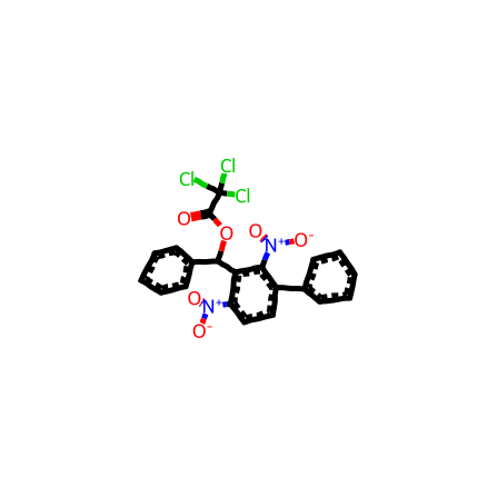 O=C(OC(c1ccccc1)c1c([N+](=O)[O-])ccc(-c2ccccc2)c1[N+](=O)[O-])C(Cl)(Cl)Cl